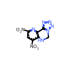 O=[N+]([O-])c1cc([N+](=O)[O-])c2c(n1)-c1nnnn1CN2